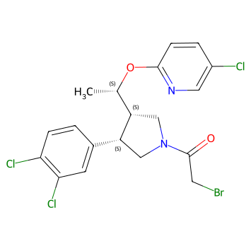 C[C@H](Oc1ccc(Cl)cn1)[C@@H]1CN(C(=O)CBr)C[C@@H]1c1ccc(Cl)c(Cl)c1